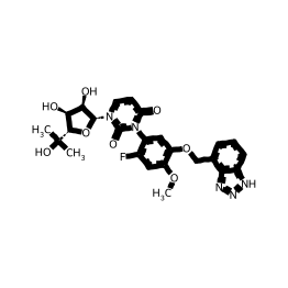 COc1cc(F)c(-n2c(=O)ccn([C@@H]3O[C@H](C(C)(C)O)[C@@H](O)[C@H]3O)c2=O)cc1OCc1cccc2[nH]nnc12